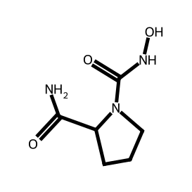 NC(=O)C1CCCN1C(=O)NO